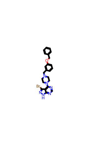 Brc1n[nH]c2ncnc(N3CCN(Cc4cccc(OCc5ccccc5)c4)CC3)c12